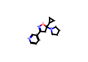 c1cncc(C2=NOC(C3CC3)(N3CCCC3)C2)c1